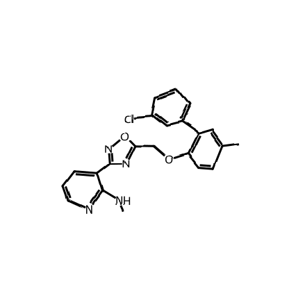 CNc1ncccc1-c1noc(COc2ccc(C)cc2-c2cccc(Cl)c2)n1